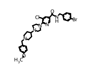 COc1ccc(CN2CCC(N3CCN(c4ncc(C(=O)NCc5ccc(Br)cc5)cc4Cl)CC3)CC2)cc1